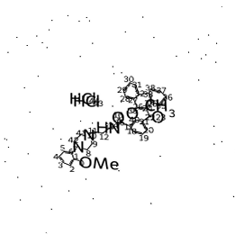 COc1ccccc1N1CCN(CCCNC(=O)c2cccc3c(=O)c(C)c(-c4ccccc4-c4ccccc4)oc23)CC1.Cl.Cl